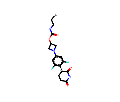 CC(C)CCNC(=O)OC1CN(c2cc(F)c([C@@H]3CCC(=O)NC3=O)c(F)c2)C1